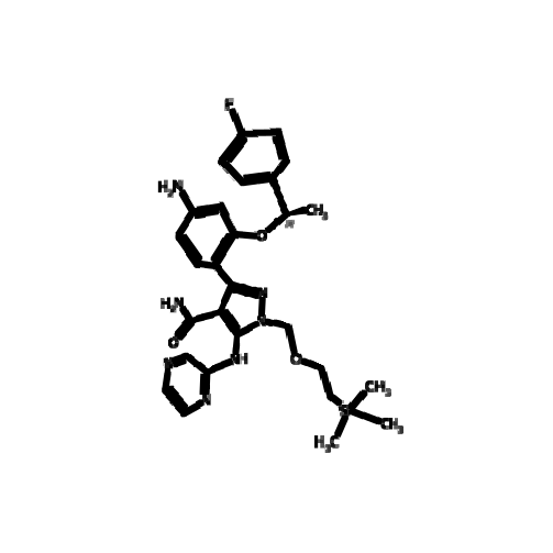 C[C@@H](Oc1cc(N)ccc1-c1nn(COCC[Si](C)(C)C)c(Nc2cnccn2)c1C(N)=O)c1ccc(F)cc1